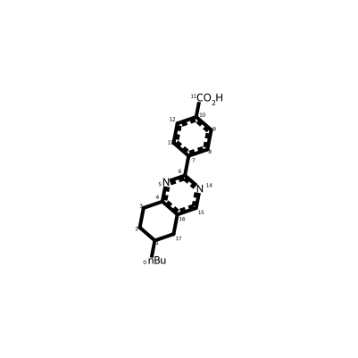 CCCCC1CCc2nc(-c3ccc(C(=O)O)cc3)ncc2C1